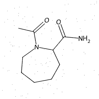 CC(=O)N1CCCCCC1C(N)=O